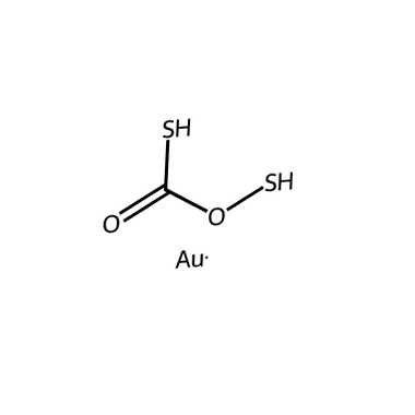 O=C(S)OS.[Au]